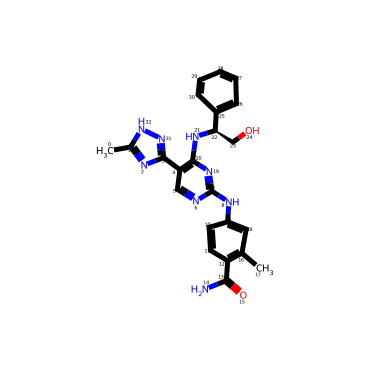 Cc1nc(-c2cnc(Nc3ccc(C(N)=O)c(C)c3)nc2N[C@H](CO)c2ccccc2)n[nH]1